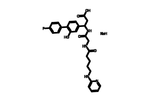 O=C(O)CC(NC(=O)CNC(=O)CCCCNc1ccccn1)c1ccc(-c2ccc(F)cc2)c(O)c1.[NaH]